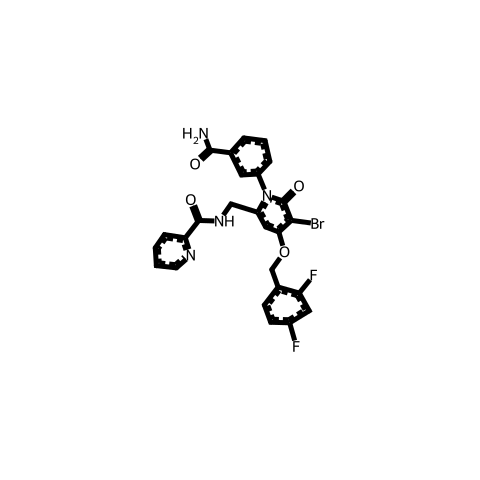 NC(=O)c1cccc(-n2c(CNC(=O)c3ccccn3)cc(OCc3ccc(F)cc3F)c(Br)c2=O)c1